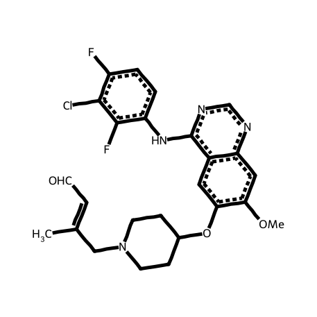 COc1cc2ncnc(Nc3ccc(F)c(Cl)c3F)c2cc1OC1CCN(CC(C)=CC=O)CC1